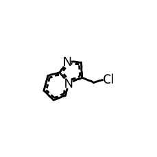 ClCc1cnc2ccccn12